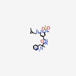 CC1CC1CN(C)c1cc(-c2nnc([C@](C)(N)Cc3ccccc3)o2)cc(N(C)S(C)(=O)=O)n1